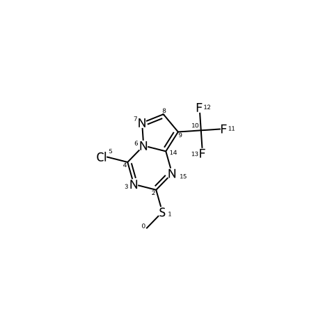 CSc1nc(Cl)n2ncc(C(F)(F)F)c2n1